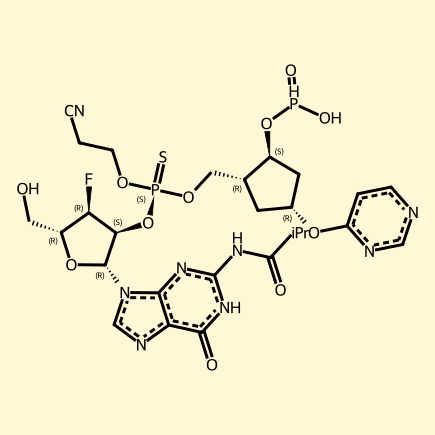 CC(C)C(=O)Nc1nc2c(ncn2[C@@H]2O[C@H](CO)[C@@H](F)[C@H]2O[P@](=S)(OCCC#N)OC[C@H]2C[C@@H](Oc3ccncn3)C[C@@H]2O[PH](=O)O)c(=O)[nH]1